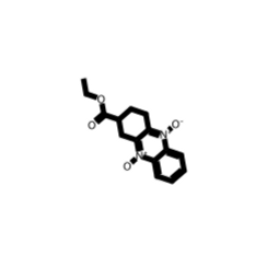 CCOC(=O)C1CCc2c([n+]([O-])c3ccccc3[n+]2[O-])C1